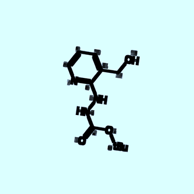 CC(C)(C)OC(=O)NNc1ncccc1CO